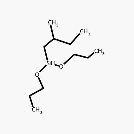 CCCO[SiH](CC(C)CC)OCCC